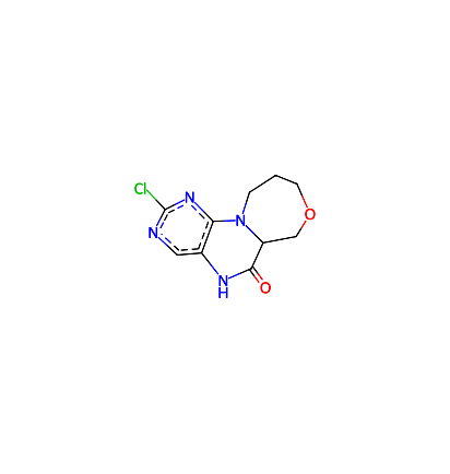 O=C1Nc2cnc(Cl)nc2N2CCCOCC12